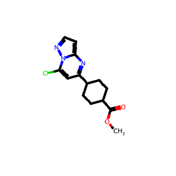 COC(=O)C1CCC(c2cc(Cl)n3nccc3n2)CC1